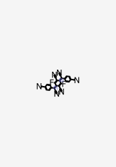 N#C/C(c1ccc(C#N)cc1)=c1/c(F)c(C#N)/c(=C(\C#N)c2ccc(C#N)cc2)c(F)c1C#N